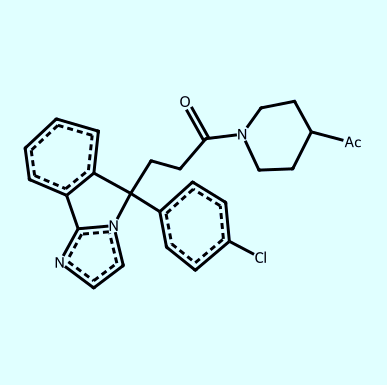 CC(=O)C1CCN(C(=O)CCC2(c3ccc(Cl)cc3)c3ccccc3-c3nccn32)CC1